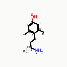 CC(=O)[C@@H](N)CCc1c(C)cc(O)cc1C